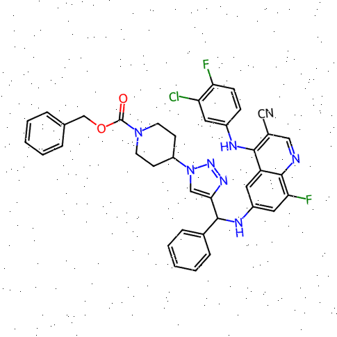 N#Cc1cnc2c(F)cc(NC(c3ccccc3)c3cn(C4CCN(C(=O)OCc5ccccc5)CC4)nn3)cc2c1Nc1ccc(F)c(Cl)c1